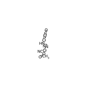 CC1(COc2ccc(-c3nccc(Nc4ccc(N5CCN(C6COC6)CC5)cc4)n3)cc2C#N)COC1